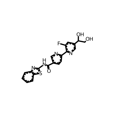 O=C(Nc1nc2ccccc2s1)c1ccc(-c2ncc(C(O)CO)cc2F)nc1